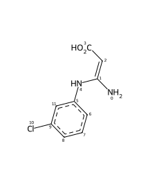 N/C(=C/C(=O)O)Nc1cccc(Cl)c1